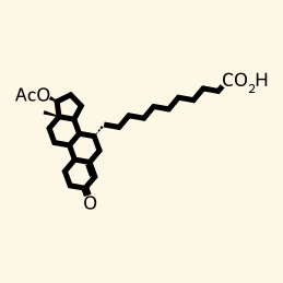 CC(=O)O[C@H]1CCC2C3C(CC[C@@]21C)C1CCC(=O)C=C1C[C@H]3CCCCCCCCCCC(=O)O